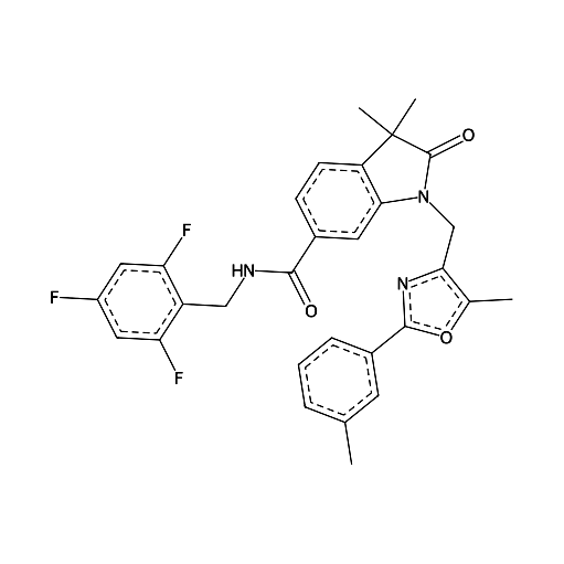 Cc1cccc(-c2nc(CN3C(=O)C(C)(C)c4ccc(C(=O)NCc5c(F)cc(F)cc5F)cc43)c(C)o2)c1